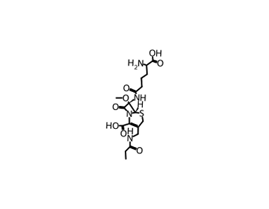 CCC(=O)NCC1=C(C(=O)O)N2C(=O)[C@](NC(=O)CCCC(N)C(=O)O)(OC)[C@@H]2SC1